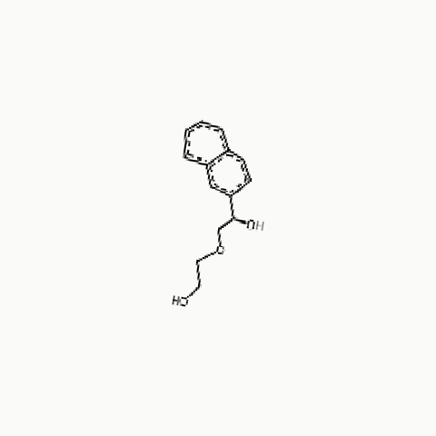 OCCOCC(O)c1ccc2ccccc2c1